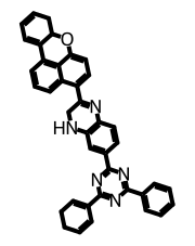 C1=CCC2Oc3ccc(C4=Nc5ccc(-c6nc(C7=CCCC=C7)nc(-c7ccccc7)n6)cc5NC4)c4cccc(c34)C2=C1